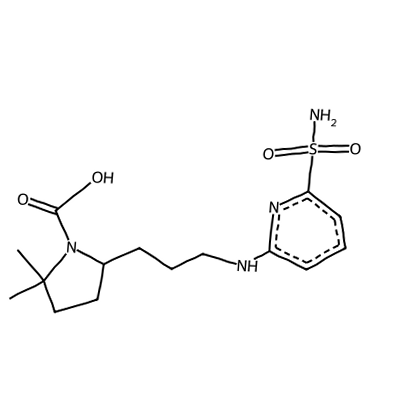 CC1(C)CCC(CCCNc2cccc(S(N)(=O)=O)n2)N1C(=O)O